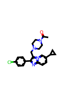 CC(=O)N1CCN(Cc2c(-c3ccc(Cl)cc3)nc3ccc(C4CC4)cn23)CC1